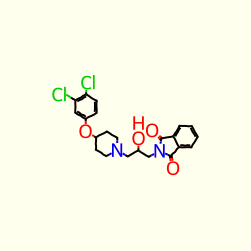 O=C1c2ccccc2C(=O)N1CC(O)CN1CCC(Oc2ccc(Cl)c(Cl)c2)CC1